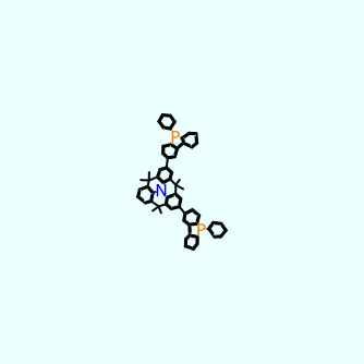 CC1(C)c2cccc3c2N2c4c1cc(-c1ccc5c(c1)c1ccccc1p5-c1ccccc1)cc4C(C)(C)c1cc(-c4ccc5c(c4)c4ccccc4p5-c4ccccc4)cc(c12)C3(C)C